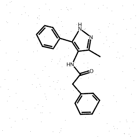 Cc1n[nH]c(-c2ccccc2)c1NC(=O)Cc1ccccc1